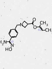 C/C=C(\C)OC(=O)C1CN(Cc2ccc(/C(N)=N/O)cc2)C1